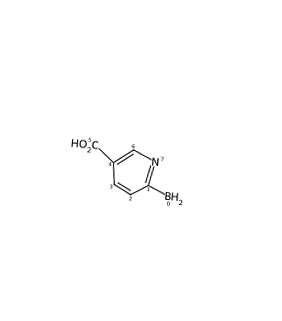 Bc1ccc(C(=O)O)cn1